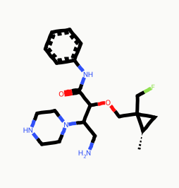 C[C@H]1CC1(CF)COC(C(=O)Nc1ccccc1)C(CN)N1CCNCC1